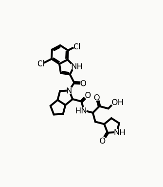 O=C1NCCC1CC(NC(=O)C1C2CCCC2CN1C(=O)c1cc2c(Cl)ccc(Cl)c2[nH]1)C(=O)CO